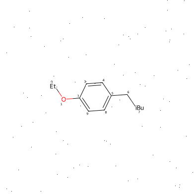 CCOc1ccc(CC(C)CC)cc1